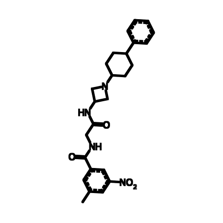 Cc1cc(C(=O)NCC(=O)NC2CN(C3CCC(c4ccccc4)CC3)C2)cc([N+](=O)[O-])c1